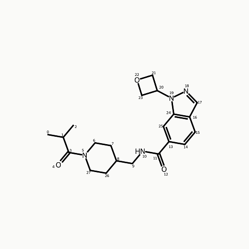 CC(C)C(=O)N1CCC(CNC(=O)c2ccc3cnn(C4COC4)c3c2)CC1